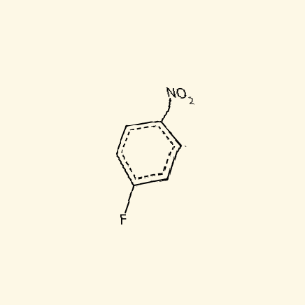 O=[N+]([O-])c1[c]cc(F)cc1